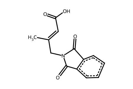 CC(=CC(=O)O)CN1C(=O)c2ccccc2C1=O